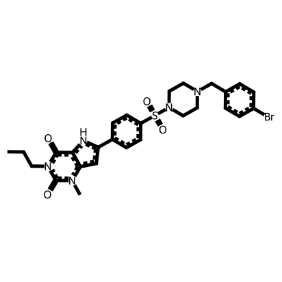 CCCn1c(=O)c2[nH]c(-c3ccc(S(=O)(=O)N4CCN(Cc5ccc(Br)cc5)CC4)cc3)cc2n(C)c1=O